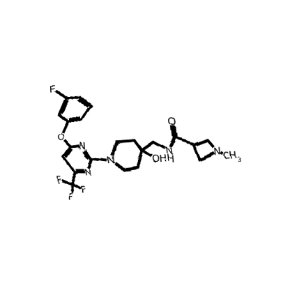 CN1CC(C(=O)NCC2(O)CCN(c3nc(Oc4cccc(F)c4)cc(C(F)(F)F)n3)CC2)C1